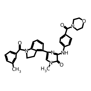 Cc1cccc(C(=O)N2CCc3c(-c4cn(C)c(=O)c(Nc5ccc(C(=O)N6CCOCC6)cc5)n4)cccc32)c1